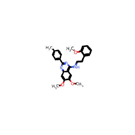 COc1ccccc1CCNc1nc(-c2ccc(C)cc2)nc2cc(OC)c(OC)cc12